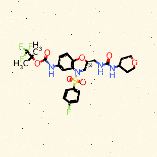 CC(C)(OC(=O)Nc1ccc2c(c1)N(S(=O)(=O)c1ccc(F)cc1)C[C@H](CNC(=O)NC1CCOCC1)O2)C(F)(F)F